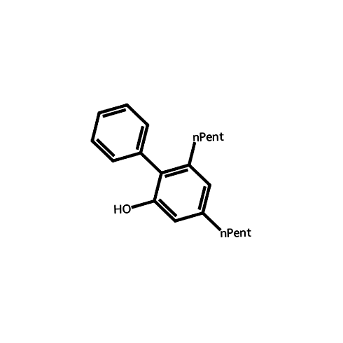 CCCCCc1cc(O)c(-c2ccccc2)c(CCCCC)c1